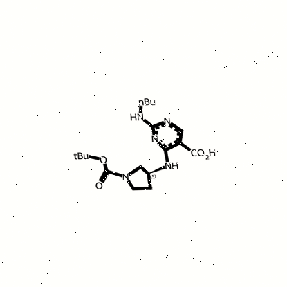 CCCCNc1ncc(C(=O)O)c(N[C@H]2CCN(C(=O)OC(C)(C)C)C2)n1